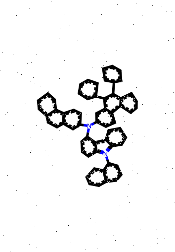 c1ccc(-c2c(-c3ccccc3)c3cc(N(c4ccc5c(ccc6ccccc65)c4)c4cccc5c4c4ccccc4n5-c4cccc5ccccc45)ccc3c3ccccc23)cc1